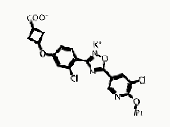 CC(C)Oc1ncc(-c2nc(-c3ccc(OC4CC(C(=O)[O-])C4)cc3Cl)no2)cc1Cl.[K+]